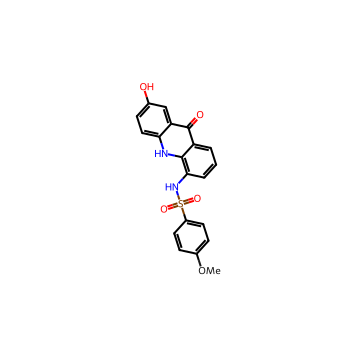 COc1ccc(S(=O)(=O)Nc2cccc3c(=O)c4cc(O)ccc4[nH]c23)cc1